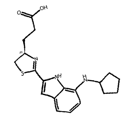 O=C(O)CC[C@@H]1CSC(c2cc3cccc(NC4CCCC4)c3[nH]2)=N1